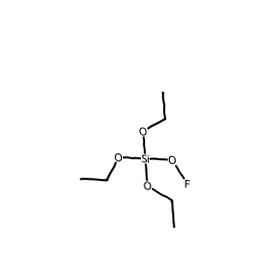 CCO[Si](OF)(OCC)OCC